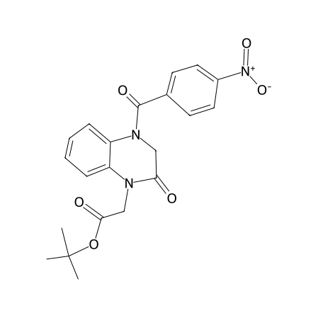 CC(C)(C)OC(=O)CN1C(=O)CN(C(=O)c2ccc([N+](=O)[O-])cc2)c2ccccc21